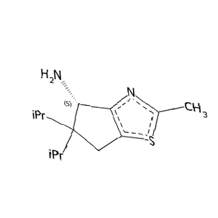 Cc1nc2c(s1)CC(C(C)C)(C(C)C)[C@@H]2N